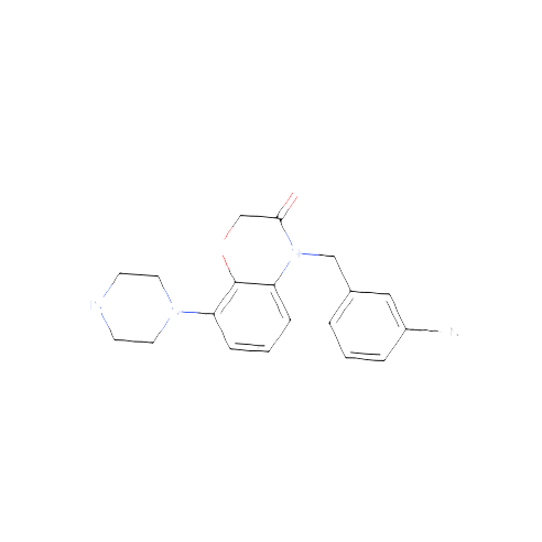 N#Cc1cccc(CN2C(=O)COc3c(N4CCNCC4)cccc32)c1